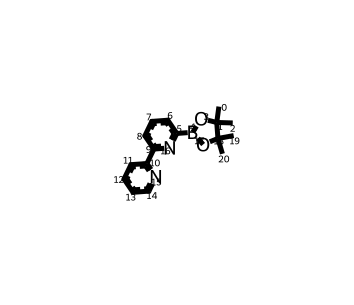 CC1(C)OB(c2cccc(-c3ccccn3)n2)OC1(C)C